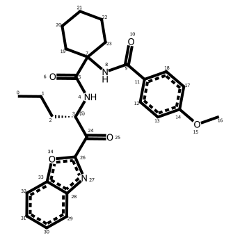 CCC[C@H](NC(=O)C1(NC(=O)c2ccc(OC)cc2)CCCCC1)C(=O)c1nc2ccccc2o1